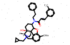 COc1ccc2c3c1OC1C(N(CCc4ccccc4)C(=O)/C=C/c4cccc(C(F)(F)F)c4)CC[C@@]4(O)[C@@H](C2)N(CC2CC2)CC[C@]314